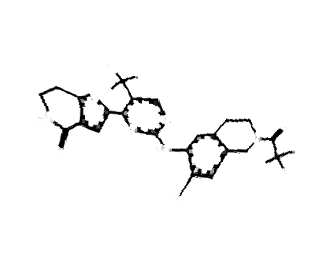 O=C1NCCc2sc(-c3nc(Nc4cc5c(cc4Cl)CN(C(=O)C(F)(F)F)CC5)ncc3C(F)(F)F)cc21